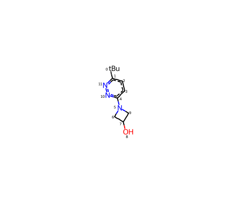 CC(C)(C)c1ccc(N2CC(O)C2)nn1